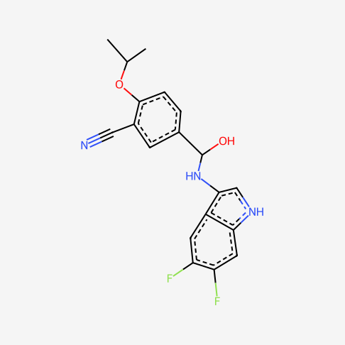 CC(C)Oc1ccc(C(O)Nc2c[nH]c3cc(F)c(F)cc23)cc1C#N